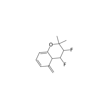 C=C1C=CC=C2OC(C)(C)C(F)C(F)C12